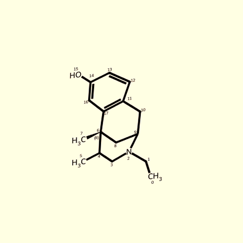 CCN1CC(C)[C@@]2(C)CC1Cc1ccc(O)cc12